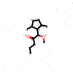 CCCC(=O)C(OC)C1C(C)CCC1C